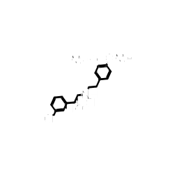 COc1ccc(CCNCC(O)c2cccc(Cl)c2)cc1OC.Cl